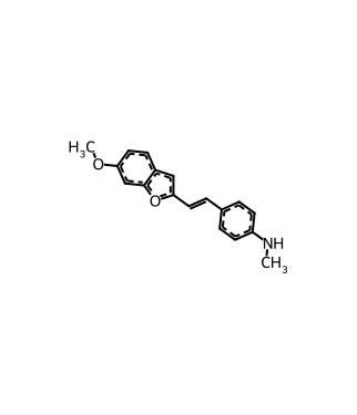 CNc1ccc(/C=C/c2cc3ccc(OC)cc3o2)cc1